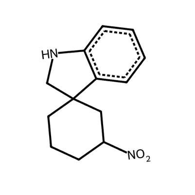 O=[N+]([O-])C1CCCC2(CNc3ccccc32)C1